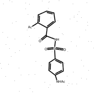 CC(=O)Nc1ccc(S(=O)(=O)NC(=O)c2ccccc2C(C)=O)cc1